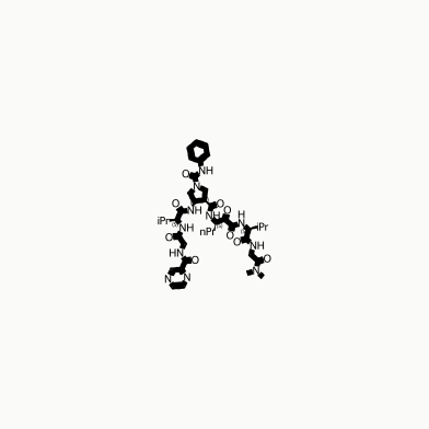 CCC[C@H](NC(=O)[C@@H]1CN(C(=O)Nc2ccccc2)C[C@@H]1NC(=O)[C@@H](NC(=O)CNC(=O)c1cnccn1)C(C)C)C(=O)C(=O)N[C@H](C(=O)NCC(=O)N(C)C)C(C)C